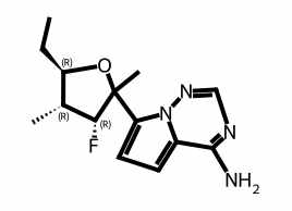 CC[C@H]1OC(C)(c2ccc3c(N)ncnn23)[C@H](F)[C@@H]1C